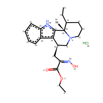 CCOC(=O)C(C[C@@H]1CN2CCCC(CC)[C@H]2c2[nH]c3ccccc3c21)=NO.Cl